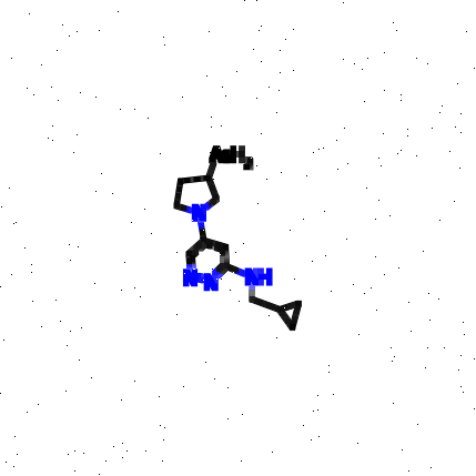 [AsH2]C1CCN(c2cnnc(NCC3CC3)c2)C1